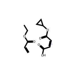 C=CC(=O)OCC.O=C(O)/C=C\C(=O)OC1CC1